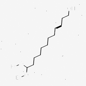 CCOC(CCCCCCC/C=C/CCO)OCC